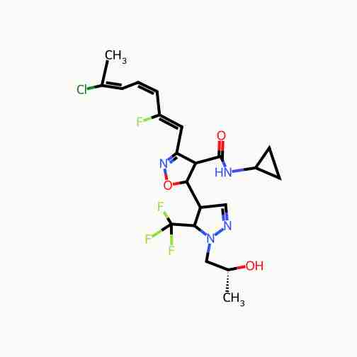 C\C(Cl)=C/C=C\C(F)=C\C1=NOC(C2C=NN(C[C@@H](C)O)C2C(F)(F)F)C1C(=O)NC1CC1